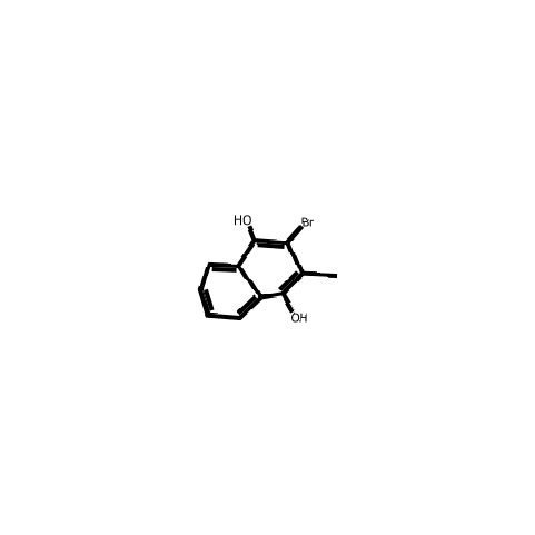 Cc1c(Br)c(O)c2ccccc2c1O